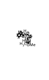 COC(=O)[C@H](C)NC(=O)C(=O)[C@@H]1CCCN1C(=O)CNC(=O)c1ccnc2ccccc12